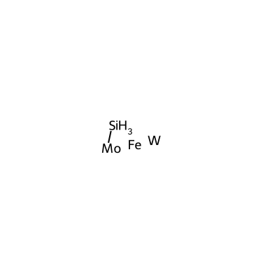 [Fe].[SiH3][Mo].[W]